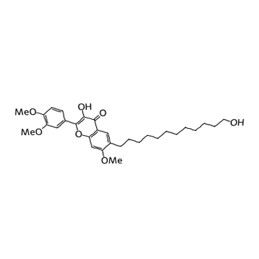 COc1cc2oc(-c3ccc(OC)c(OC)c3)c(O)c(=O)c2cc1CCCCCCCCCCCCO